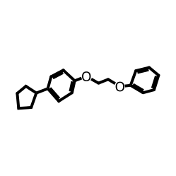 c1ccc(OCCOc2ccc(C3CCCC3)cc2)cc1